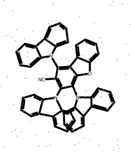 N#Cc1c(-n2c3ccccc3c3ccccc32)c(-n2c3ccccc3c3ccccc32)c2oc3ccccc3c2c1-n1c2ccccc2c2ccccc21